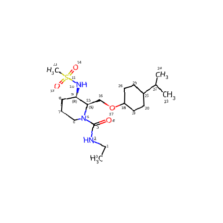 CCNC(=O)N1CCC[C@@H](NS(C)(=O)=O)[C@H]1COC1CCC(C(C)C)CC1